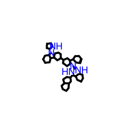 C1=CC2C(CC1)C1CC(C3CCC4C(C3)C3CCCCC3N4C3CCCN3)CCC1N2C1NC2CCCCC2C(C2CCC3CCCCC3C2)N1